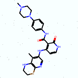 Cc1c(Nc2cc[nH]c(=O)c2C(=O)Nc2ccc(N3CCN(C)CC3)cc2)cnc2c1NCCS2